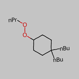 CCCCC1(CCCC)CCC(OOCCC)CC1